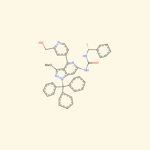 COc1nn(C(c2ccccc2)(c2ccccc2)c2ccccc2)c2cc(NC(=O)N[C@H](C)c3ccccc3)nc(-c3ccnc(CO)c3)c12